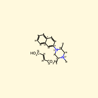 CC1CN(c2ccc3ccccc3c2)C(C)CN1C.O=C(O)/C=C/C(=O)O